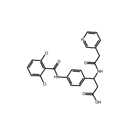 O=C(O)CC(NC(=O)Cc1cccnc1)c1ccc(NC(=O)c2c(Cl)cccc2Cl)cc1